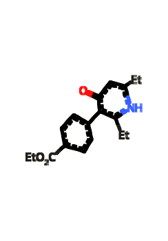 CCOC(=O)c1ccc(-c2c(CC)[nH]c(CC)cc2=O)cc1